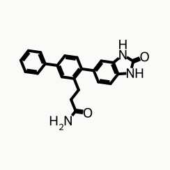 NC(=O)CCc1cc(-c2ccccc2)ccc1-c1ccc2[nH]c(=O)[nH]c2c1